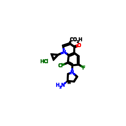 Cl.N[C@@H]1CCN(c2c(F)cc3c(=O)c(C(=O)O)cn(C4CC4)c3c2Cl)C1